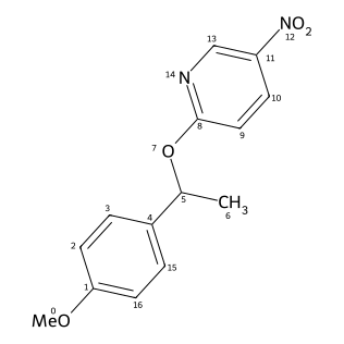 COc1ccc(C(C)Oc2ccc([N+](=O)[O-])cn2)cc1